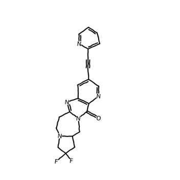 O=c1c2ncc(C#Cc3ccccn3)cc2nc2n1CC1CC(F)(F)CN1CC2